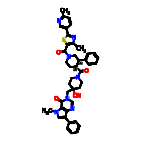 Cc1ccc(-c2nc(C)c(C(=O)N3CC[C@@H](C(=O)N4CCC(O)(Cn5cnc6c(-c7ccccc7)cn(C)c6c5=O)CC4)[C@H](c4ccccc4)C3)s2)cn1